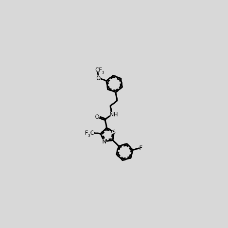 O=C(NCCc1cccc(OC(F)(F)F)c1)c1sc(-c2cccc(F)c2)nc1C(F)(F)F